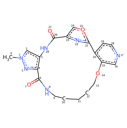 Cn1cc2c(n1)C(=O)NCCCCCOc1cnccc1-c1nc(co1)C(=O)N2